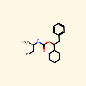 CC(C)C[C@H](NC(=O)OC(Cc1ccccc1)C1CCCCC1)C(=O)O